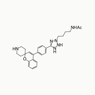 CC(=O)NCCCCN1N=C(c2ccc(C3=CC4(CCNCC4)Oc4ccccc43)cc2)NN1